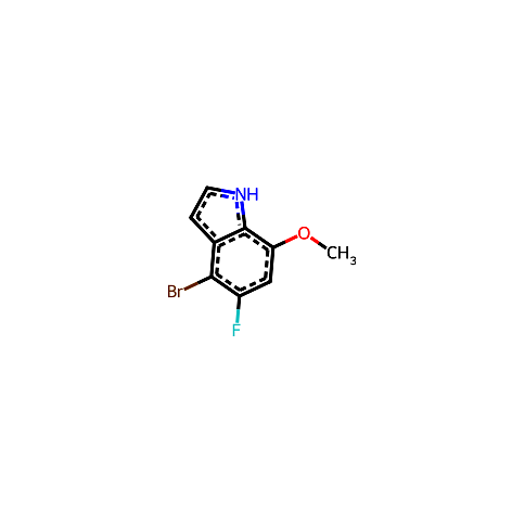 COc1cc(F)c(Br)c2cc[nH]c12